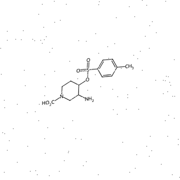 Cc1ccc(S(=O)(=O)OC2CCN(C(=O)O)CC2N)cc1